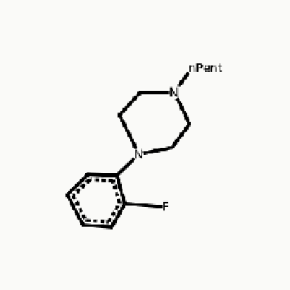 [CH2]CCCCN1CCN(c2ccccc2F)CC1